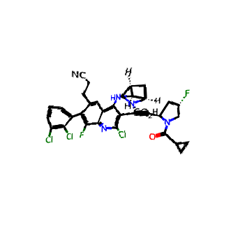 N#CCCc1cc2c(N[C@H]3[C@@H]4C[C@H]3N(C(=O)O)C4)c(C#C[C@H]3C[C@H](F)CN3C(=O)C3CC3)c(Cl)nc2c(F)c1-c1cccc(Cl)c1Cl